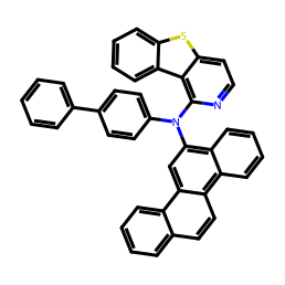 c1ccc(-c2ccc(N(c3cc4c5ccccc5ccc4c4ccccc34)c3nccc4sc5ccccc5c34)cc2)cc1